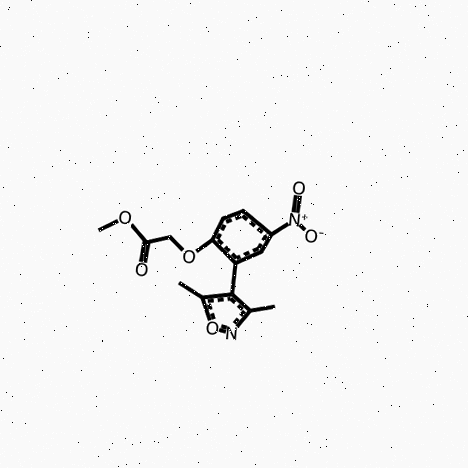 COC(=O)COc1ccc([N+](=O)[O-])cc1-c1c(C)noc1C